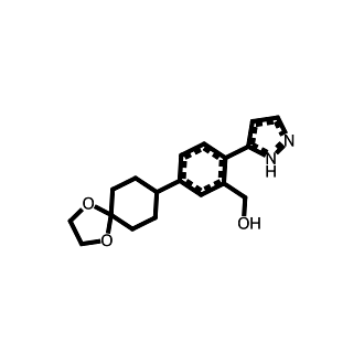 OCc1cc(C2CCC3(CC2)OCCO3)ccc1-c1ccn[nH]1